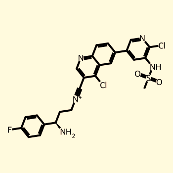 CS(=O)(=O)Nc1cc(-c2ccc3ncc(C#[N+]CC[C@@H](N)c4ccc(F)cc4)c(Cl)c3c2)cnc1Cl